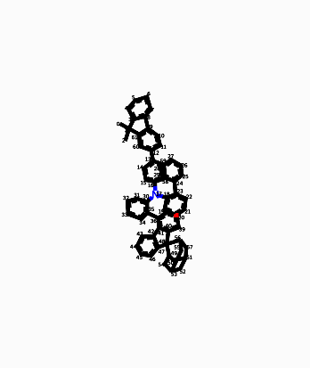 CC1(C)c2ccccc2-c2ccc(-c3ccc(N(c4ccccc4-c4ccccc4)c4ccccc4-c4cccc5c4-c4ccccc4C54C5CC6CC(C5)CC4C6)cc3)cc21